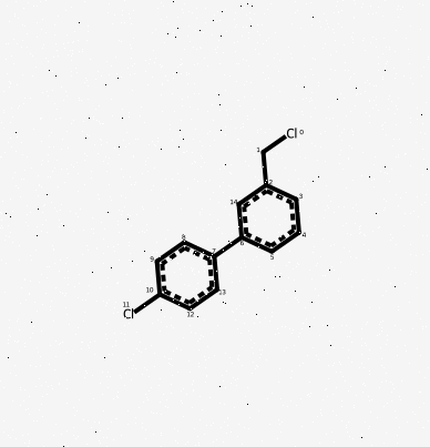 ClCc1cccc(-c2ccc(Cl)cc2)c1